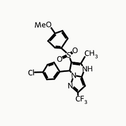 COc1ccc(S(=O)(=O)C2=C(C)Nc3cc(C(F)(F)F)nn3C2c2ccc(Cl)cc2)cc1